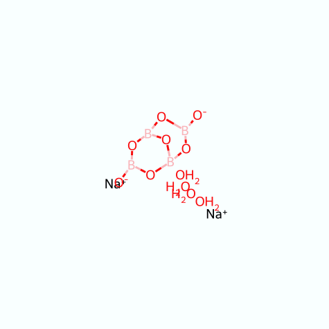 O.O.O.O.[Na+].[Na+].[O-]B1OB2OB([O-])OB(O1)O2